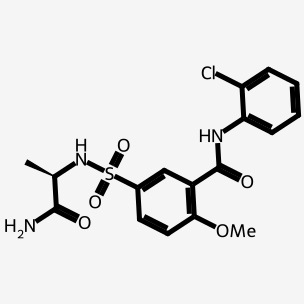 COc1ccc(S(=O)(=O)N[C@H](C)C(N)=O)cc1C(=O)Nc1ccccc1Cl